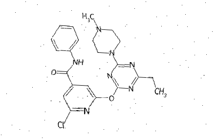 CCc1nc(Oc2cc(C(=O)Nc3ccccc3)cc(Cl)n2)nc(N2CCN(C)CC2)n1